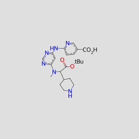 CN(c1cc(Nc2ccc(C(=O)O)cn2)ncn1)C(C(=O)OC(C)(C)C)C1CCNCC1